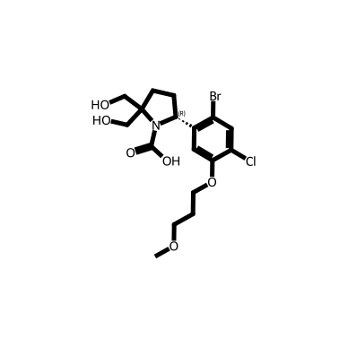 COCCCOc1cc([C@H]2CCC(CO)(CO)N2C(=O)O)c(Br)cc1Cl